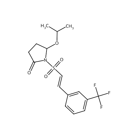 CC(C)OC1CCC(=O)N1S(=O)(=O)C=Cc1cccc(C(F)(F)F)c1